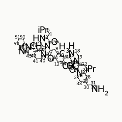 CC(C)C[C@@H]1NCCN([C@@H](CC(C)CCC(C)C[C@@H]2NCCN([C@@H](CC(C)C)C(=O)N3CCC(CCN)CC3)C2=O)C(=O)N2CCC(Cc3nc4c(n3C)CCC4)CC2)C1=O